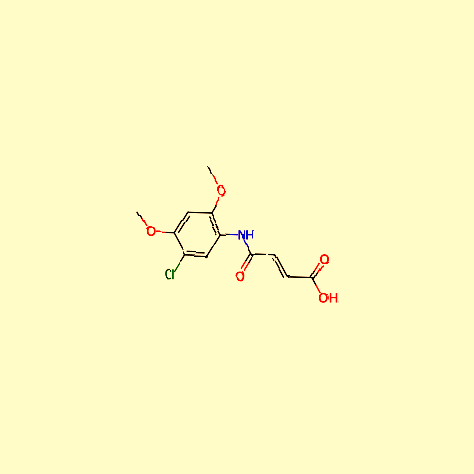 COc1cc(OC)c(NC(=O)C=CC(=O)O)cc1Cl